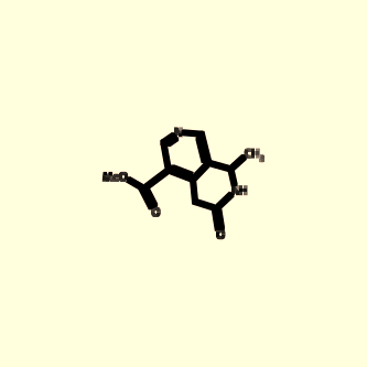 COC(=O)c1cncc2c1CC(=O)NC2C